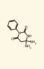 NC1(N)CC(=O)N(c2ccccc2)C(=O)N1